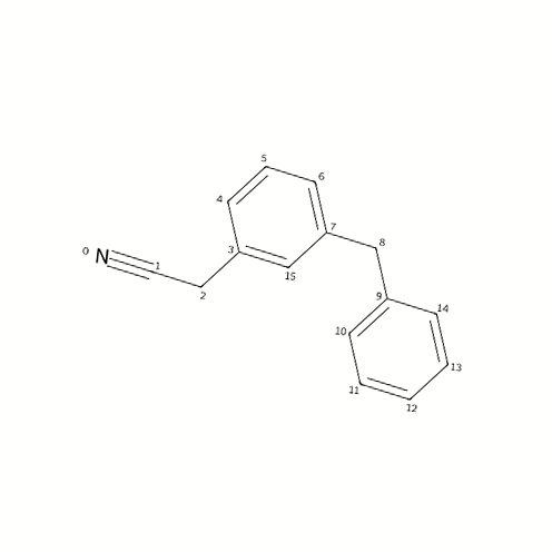 N#CCc1cccc(Cc2ccccc2)c1